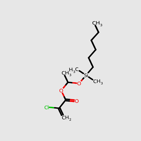 C=C(Cl)C(=O)OC(C)O[Si](C)(C)CCCCCC